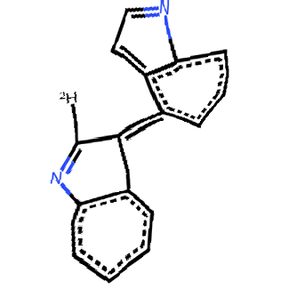 [2H]C1=Nc2ccccc2C1=c1cccc2c1=CC=N2